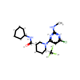 CNc1nc(Cl)cc(N2C[C@@H](C(=O)NC3CCCCC3)CC[C@H]2C(F)(F)F)n1